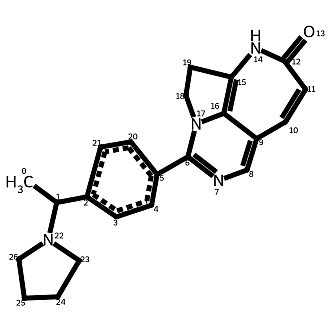 CC(c1ccc(C2=NC=C3C=CC(=O)NC4=C3N2CC4)cc1)N1CCCC1